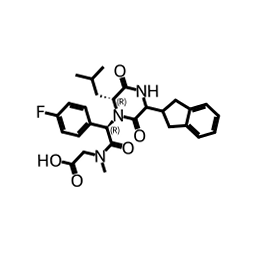 CC(C)C[C@@H]1C(=O)NC(C2Cc3ccccc3C2)C(=O)N1[C@@H](C(=O)N(C)CC(=O)O)c1ccc(F)cc1